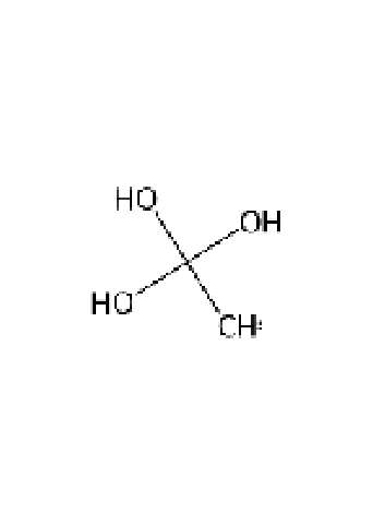 [CH]C(O)(O)O